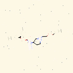 C=C(C)OC(=O)NC1CCN(CCOCC)C1